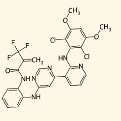 C=C(C(=O)Nc1ccccc1Nc1cc(-c2cccnc2Nc2c(Cl)c(OC)cc(OC)c2Cl)ncn1)C(F)(F)F